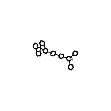 c1ccc(-c2cc(-c3ccc(-c4ccc(-c5ccc6c(c5)-c5ccccc5C65c6ccccc6-c6ccccc65)cc4)cc3)nc(-c3ccccc3)n2)cc1